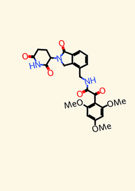 COc1cc(OC)c(C(=O)C(=O)NCc2cccc3c2CN(C2CCC(=O)NC2=O)C3=O)c(OC)c1